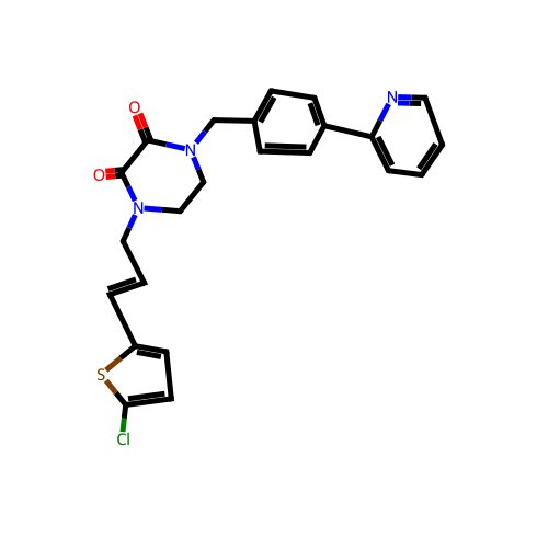 O=C1C(=O)N(Cc2ccc(-c3ccccn3)cc2)CCN1C/C=C/c1ccc(Cl)s1